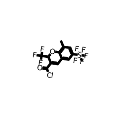 Cc1cc(S(F)(F)(F)(F)F)cc2c1OC(C(F)(F)F)C(C(=O)Cl)=C2